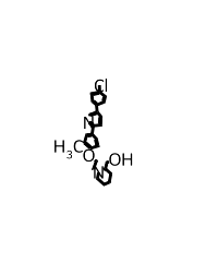 Cc1cc(-c2ccc(-c3ccc(Cl)cc3)cn2)ccc1OCCN1CCCCC1CO